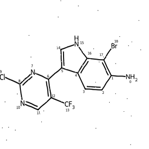 Nc1ccc2c(-c3nc(Cl)ncc3C(F)(F)F)c[nH]c2c1Br